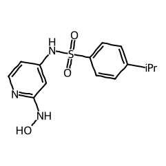 CC(C)c1ccc(S(=O)(=O)Nc2ccnc(NO)c2)cc1